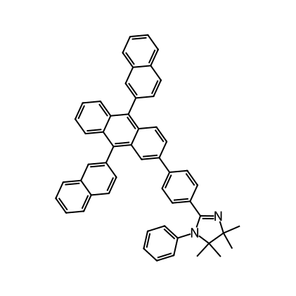 CC1(C)N=C(c2ccc(-c3ccc4c(-c5ccc6ccccc6c5)c5ccccc5c(-c5ccc6ccccc6c5)c4c3)cc2)N(c2ccccc2)C1(C)C